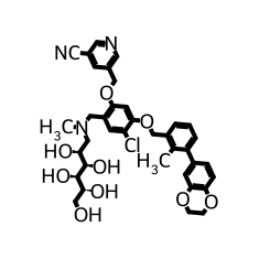 Cc1c(COc2cc(OCc3cncc(C#N)c3)c(CN(C)C[C@H](O)[C@@H](O)[C@H](O)[C@H](O)CO)cc2Cl)cccc1-c1ccc2c(c1)OCCO2